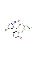 COc1cccc(C2SC(CC(=O)OC(C)C)C(=O)Nc3ccc(Cl)cc32)c1Cl